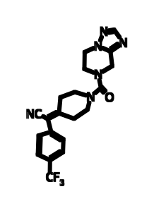 N#CC(=C1CCN(C(=O)N2CCn3ncnc3C2)CC1)c1ccc(C(F)(F)F)cc1